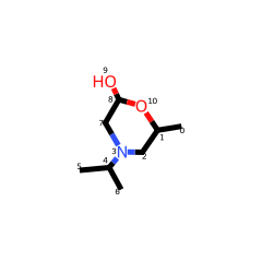 CC1CN(C(C)C)CC(O)O1